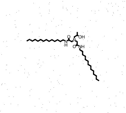 CCCCCCCCCCCCCCNC(=O)CN(CC(=O)NCCCCCCCCCCCCCC)CC(C)O